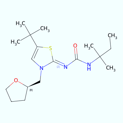 CCC(C)(C)NC(=O)/N=c1\sc(C(C)(C)C)cn1C[C@H]1CCCO1